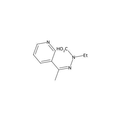 CCN(/N=C(/C)c1cccnc1)C(=O)O